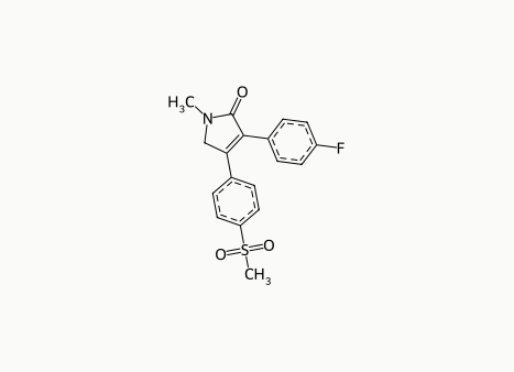 CN1CC(c2ccc(S(C)(=O)=O)cc2)=C(c2ccc(F)cc2)C1=O